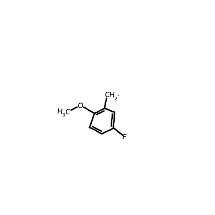 [CH2]c1cc(F)ccc1OC